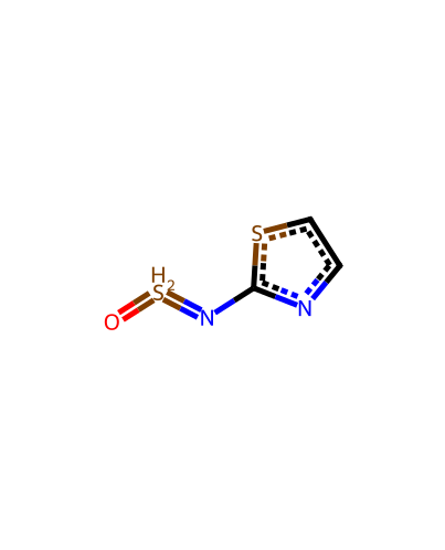 O=[SH2]=Nc1nccs1